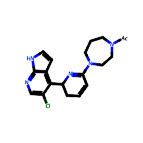 CC(=O)N1CCCN(C2=NC(c3c(Cl)cnc4[nH]ccc34)CC=C2)CC1